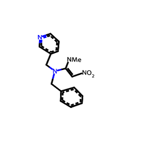 CNC(=C[N+](=O)[O-])N(Cc1ccccc1)Cc1cccnc1